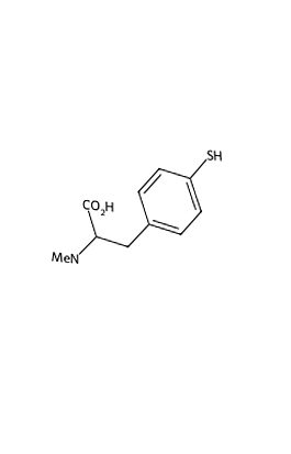 CNC(Cc1ccc(S)cc1)C(=O)O